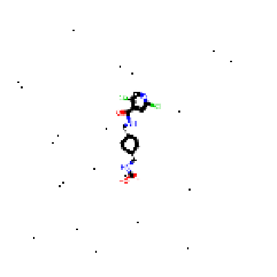 O=C(O)NC[C@H]1CC[C@H](CNC(=O)c2cc(Cl)ncc2Cl)CC1